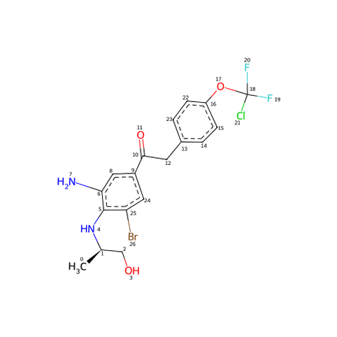 C[C@H](CO)Nc1c(N)cc(C(=O)Cc2ccc(OC(F)(F)Cl)cc2)cc1Br